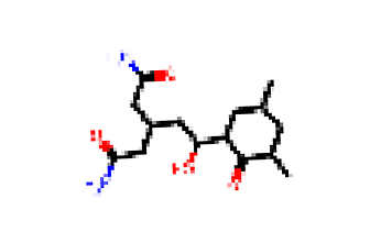 CC1CC(C)C(=O)C(C(O)CC(CC(N)=O)CC(N)=O)C1